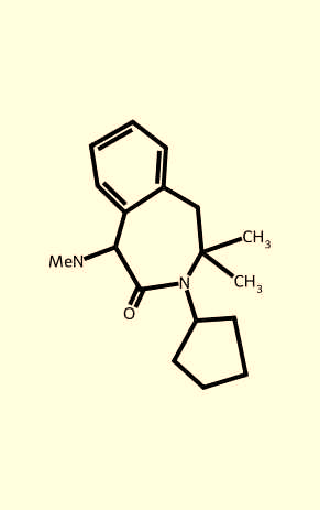 CNC1C(=O)N(C2CCCC2)C(C)(C)Cc2ccccc21